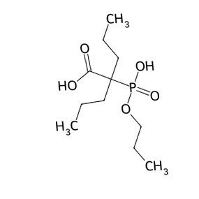 CCCOP(=O)(O)C(CCC)(CCC)C(=O)O